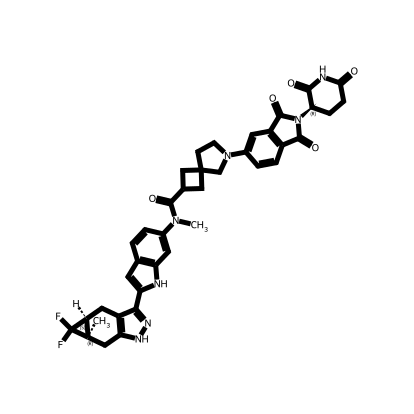 CN(C(=O)C1CC2(CCN(c3ccc4c(c3)C(=O)N([C@@H]3CCC(=O)NC3=O)C4=O)C2)C1)c1ccc2cc(-c3n[nH]c4c3C[C@@H]3C(F)(F)[C@]3(C)C4)[nH]c2c1